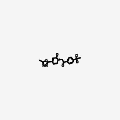 Cc1nnc(-c2ccn(CC(=O)c3ccc(S(C)(=O)=O)cc3)c(=O)c2)o1